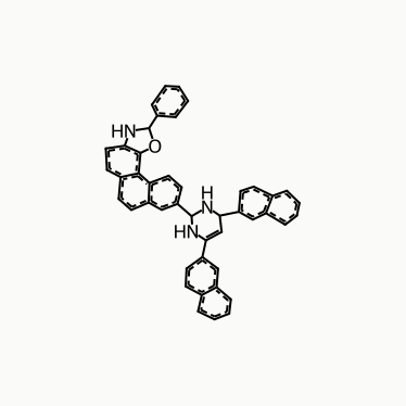 C1=C(c2ccc3ccccc3c2)NC(c2ccc3c(ccc4ccc5c(c43)OC(c3ccccc3)N5)c2)NC1c1ccc2ccccc2c1